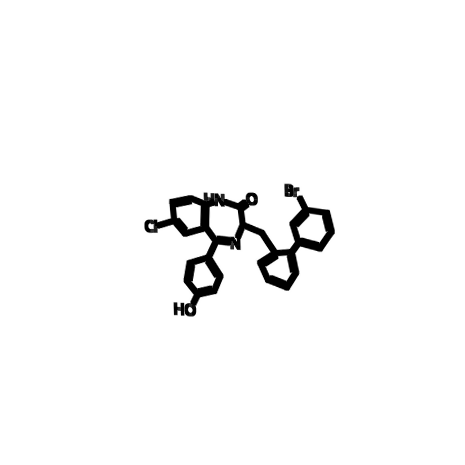 O=C1Nc2ccc(Cl)cc2C(c2ccc(O)cc2)=NC1Cc1ccccc1-c1cccc(Br)c1